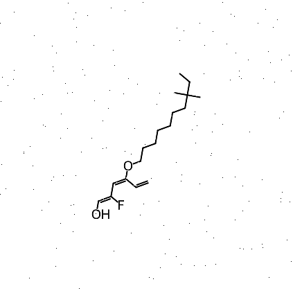 C=C/C(=C\C(F)=C\O)OCCCCCCCC(C)(C)CC